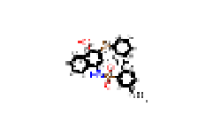 Cc1ccc([N+](=O)[O-])cc1S(=O)(=O)Nc1cc(Sc2ccccc2)c(O)c2ccccc12